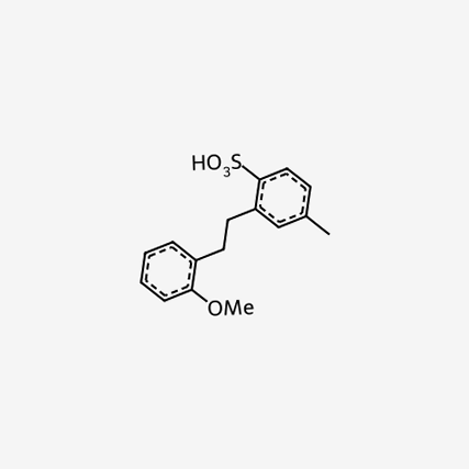 COc1ccccc1CCc1cc(C)ccc1S(=O)(=O)O